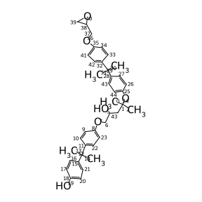 CC(C)(CC(O)COc1ccc(C(C)(C)c2ccc(O)cc2)cc1)Oc1ccc(C(C)(C)c2ccc(OCC3CO3)cc2)cc1